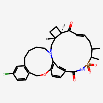 CC1C/C=C/C(=O)[C@@H]2CC[C@H]2CN2CCCCc3cc(Cl)ccc3COc3ccc(cc32)C(=O)NS(=O)(=O)C1C